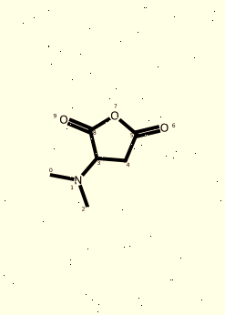 CN(C)C1CC(=O)OC1=O